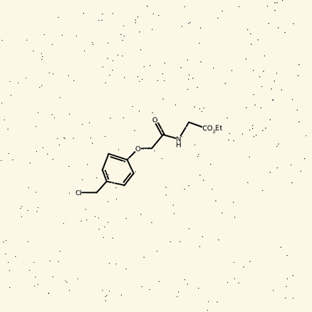 CCOC(=O)CNC(=O)COc1ccc(CCl)cc1